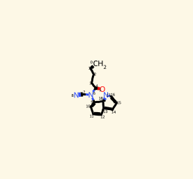 C=CCCC(=O)N(C#N)c1cccc2cccnc12